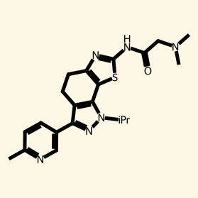 Cc1ccc(-c2nn(C(C)C)c3c2CCc2nc(NC(=O)CN(C)C)sc2-3)cn1